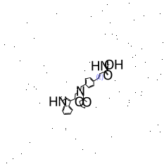 O=C(/C=C/c1ccc(CN(CCc2c[nH]c3ccccc23)CC2OCCO2)cc1)NO